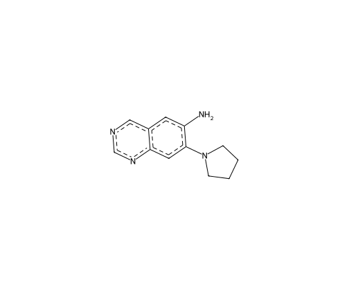 Nc1cc2cncnc2cc1N1CCCC1